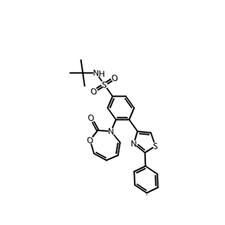 CC(C)(C)NS(=O)(=O)c1ccc(-c2csc(-c3cc[c]cc3)n2)c(N2C=CC=COC2=O)c1